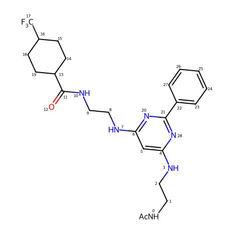 CC(=O)NCCNc1cc(NCCNC(=O)C2CCC(C(F)(F)F)CC2)nc(-c2ccccc2)n1